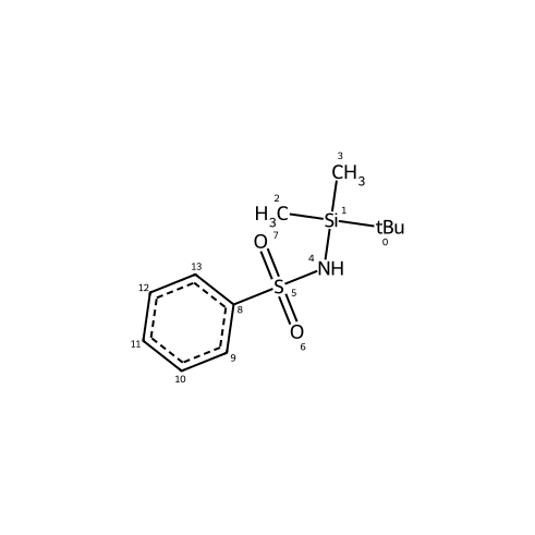 CC(C)(C)[Si](C)(C)NS(=O)(=O)c1ccccc1